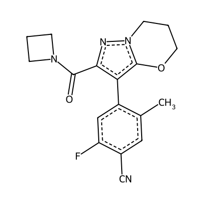 Cc1cc(C#N)c(F)cc1-c1c(C(=O)N2CCC2)nn2c1OCCC2